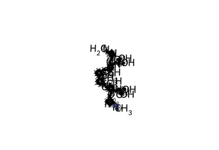 C=NCc1cncc(COc2cc(OCc3cccc(-c4cccc(COc5cc(OCc6cncc(/C=N/C)c6)c(CN[C@H](CO)C(=O)O)cc5Cl)c4C)c3C)c(Cl)cc2CN[C@@H](CO)C(=O)O)c1